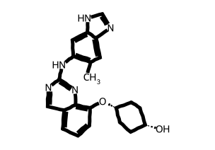 Cc1cc2nc[nH]c2cc1Nc1ncc2cccc(O[C@H]3CC[C@@H](O)CC3)c2n1